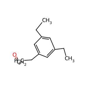 C=O.CCc1cc(CC)cc(CC)c1